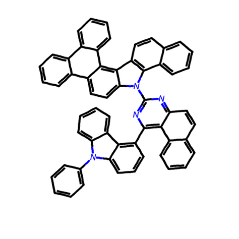 c1ccc(-n2c3ccccc3c3c(-c4nc(-n5c6ccc7c8ccccc8c8ccccc8c7c6c6ccc7ccccc7c65)nc5ccc6ccccc6c45)cccc32)cc1